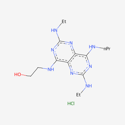 CCCNc1nc(NCC)nc2c(NCCO)nc(NCC)nc12.Cl